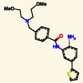 COCCN(CCOC)Cc1ccc(C(=O)Nc2cc(-c3cccs3)ccc2N)cc1